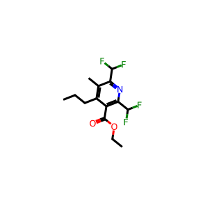 CCCc1c(C)c(C(F)F)nc(C(F)F)c1C(=O)OCC